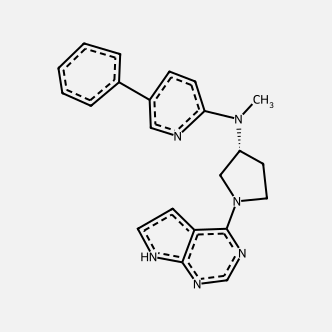 CN(c1ccc(-c2ccccc2)cn1)[C@@H]1CCN(c2ncnc3[nH]ccc23)C1